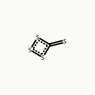 S=c1sss1